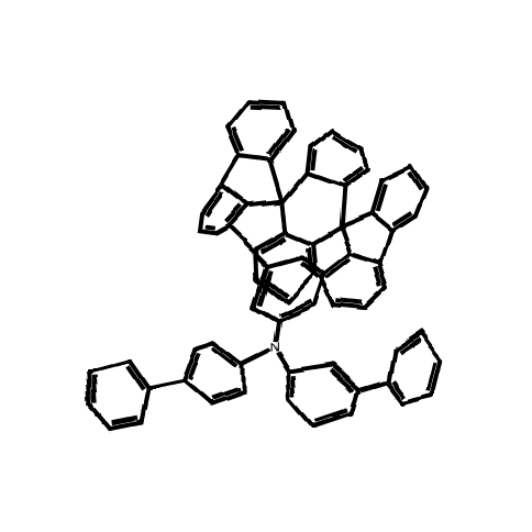 c1ccc(-c2ccc(N(c3cccc(-c4ccccc4)c3)c3cccc(-c4cccc5c4C4(c6ccccc6-5)c5ccccc5C5(c6ccccc6-c6ccccc65)c5ccccc54)c3)cc2)cc1